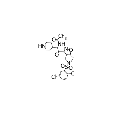 O=C(c1noc2c1CN(S(=O)(=O)c1cc(Cl)ccc1Cl)CC2)C(NC(=O)C(F)(F)F)C1CCNCC1